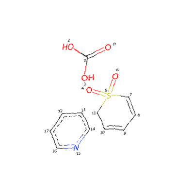 O=C(O)O.O=S1(=O)C=CC=CC1.c1ccncc1